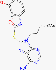 CC(=O)OCCCn1c(Sc2nc3cccc(O)c3o2)nc2c(N)ncnc21